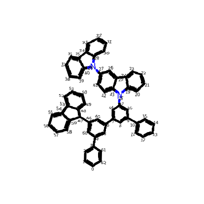 c1ccc(-c2cc(-c3cc(-c4ccccc4)cc(-n4c5ccccc5c5cc(-n6c7ccccc7c7ccccc76)ccc54)c3)cc(C3c4ccccc4-c4ccccc43)c2)cc1